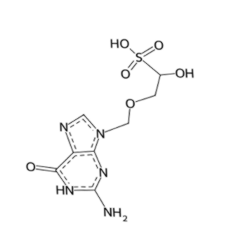 Nc1nc2c(ncn2COCC(O)S(=O)(=O)O)c(=O)[nH]1